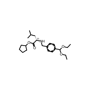 CCOC(OCC)c1ccc(CN[C@@H](CC(C)C)C(=O)OC2CCCC2)cc1